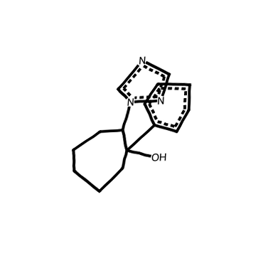 OC1(c2ccccc2)CCCCCC1n1cncn1